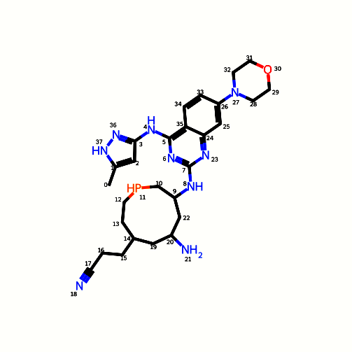 Cc1cc(Nc2nc(NC3CPCCC(CCC#N)CC(N)C3)nc3cc(N4CCOCC4)ccc23)n[nH]1